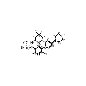 Cc1nc(C)c([C@H](OC(C)(C)C)C(=O)O)c(N2CCC(C)(C)CC2)c1-c1ccc(N2CCCCC2)cc1